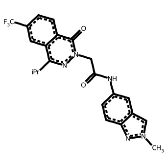 CC(C)c1nn(CC(=O)Nc2ccc3nn(C)cc3c2)c(=O)c2ccc(C(F)(F)F)cc12